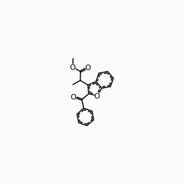 COC(=O)C(C)c1c(C(=O)c2ccccc2)oc2ccccc12